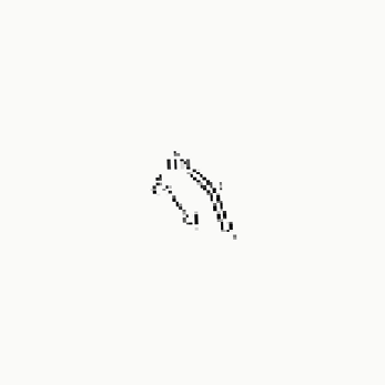 N=C=O.[Cl][Cs]